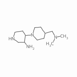 CN(C)CC1CCN(C2CCNCC2N)CC1